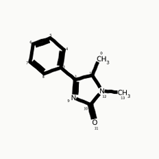 CC1C(c2ccccc2)=NC(=O)N1C